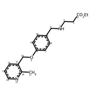 CCOC(=O)CCNCc1ccc(OCc2cccnc2C)cc1